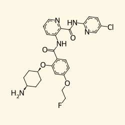 N[C@H]1CC[C@@H](Oc2cc(OCCF)ccc2C(=O)Nc2cccnc2C(=O)Nc2ccc(Cl)cn2)CC1